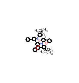 CC(C)(C)c1ccc(N2B3c4ccc5c(oc6ccccc65)c4N(c4ccc(C(C)(C)C)cc4-c4ccccc4)c4cc(-c5ccccc5)cc(c43)-c3cc(-c4ccccc4)ccc32)cc1